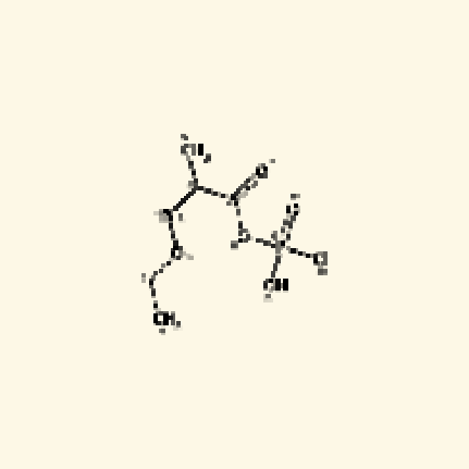 CCONC(C)C(=O)OP(=O)(O)Cl